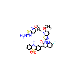 COc1ccc2nc(N)sc2n1.COc1ccc2nc(NC(=O)C(CC3CC=C(F)CC3)c3ccc4c(c3)Nc3ccccc3S4(=O)=O)sc2n1